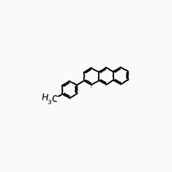 Cc1ccc(-c2[c]c3cc4ccccc4cc3cc2)cc1